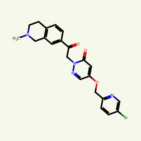 CN1CCc2ccc(C(=O)Cn3ncc(OCc4ccc(Br)cn4)cc3=O)cc2C1